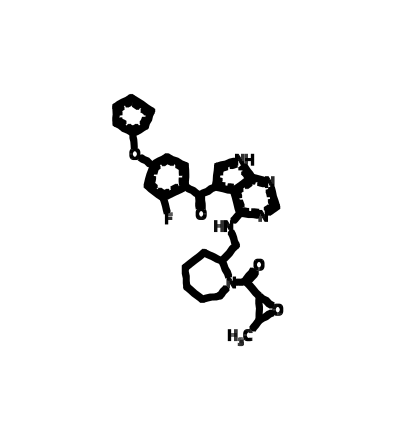 CC1OC1C(=O)N1CCCCCC1CNc1ncnc2[nH]cc(C(=O)c3ccc(Oc4ccccc4)cc3F)c12